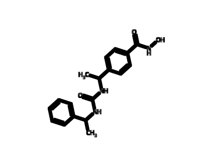 CC(NC(=O)NC(C)c1ccc(C(=O)NO)cc1)c1ccccc1